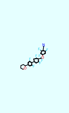 N#Cc1c(F)cc(OC(F)(F)c2c(F)cc(-c3c(F)cc(C4CCCCO4)cc3F)cc2F)cc1F